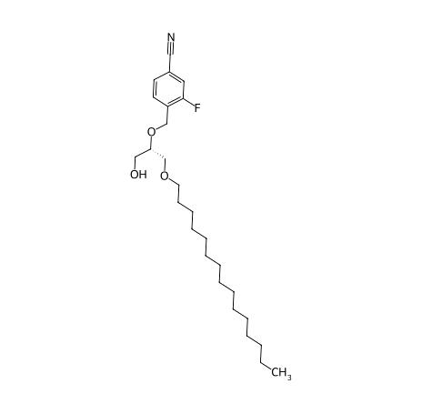 CCCCCCCCCCCCCCCOC[C@H](CO)OCc1ccc(C#N)cc1F